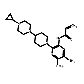 C=CC(=O)Nc1cc(N)c(OC)nc1N1CCC(N2CCN(C3CC3)CC2)CC1